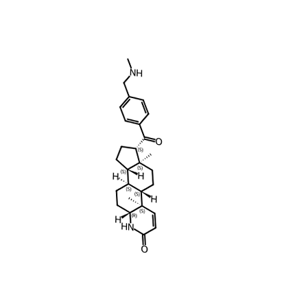 CNCc1ccc(C(=O)[C@H]2CC[C@H]3[C@@H]4CC[C@H]5NC(=O)C=C[C@]5(C)[C@H]4CC[C@]23C)cc1